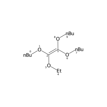 CCCCOC(OCC)=C(OCCCC)OCCCC